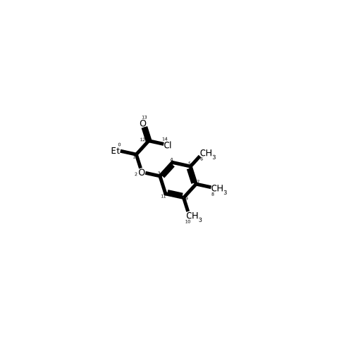 CCC(Oc1cc(C)c(C)c(C)c1)C(=O)Cl